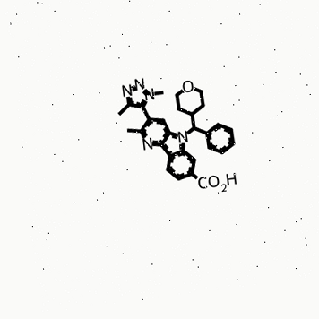 Cc1nc2c3ccc(C(=O)O)cc3n(C(c3ccccc3)C3CCOCC3)c2cc1-c1c(C)nnn1C